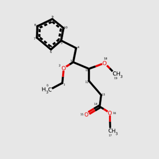 CCOC(Cc1ccccc1)C(CCC(=O)OC)OC